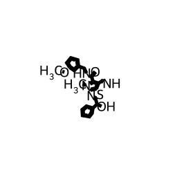 COc1cccc(CNC(=O)c2c(C=N)c3sc(C(O)c4ccccc4)nc3n2C)c1